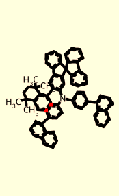 CC1(C)CCC(C)(C)c2c(-c3cc4c(cc3N(c3ccc(-c5cccc6ccccc56)cc3)c3ccc(-c5cccc6ccccc56)cc3)C3(c5ccccc5-c5ccccc53)c3ccccc3-4)cccc21